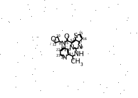 CC(Nc1nc(C(=O)NC2COC2)c2sccc2n1)c1ccccn1